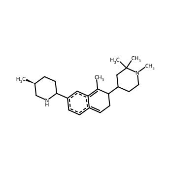 CC1=c2cc(C3CC[C@H](C)CN3)ccc2=CCC1C1CCN(C)C(C)(C)C1